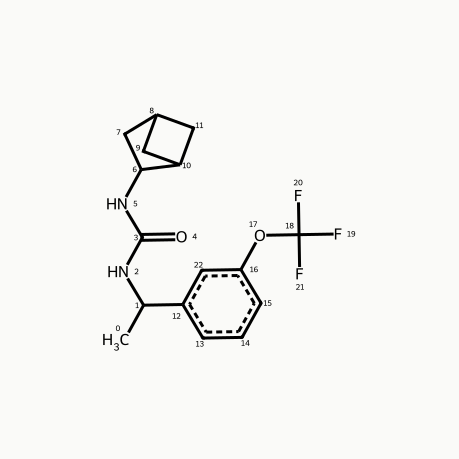 CC(NC(=O)NC1CC2CC1C2)c1cccc(OC(F)(F)F)c1